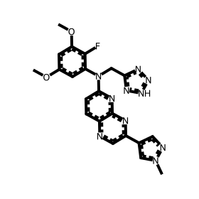 COc1cc(OC)c(F)c(N(Cc2nn[nH]n2)c2ccc3ncc(-c4cnn(C)c4)nc3n2)c1